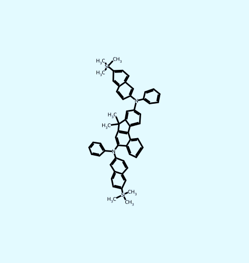 CC1(C)c2cc(N(c3ccccc3)c3ccc4cc([Si](C)(C)C)ccc4c3)ccc2-c2c1cc(N(c1ccccc1)c1ccc3cc([Si](C)(C)C)ccc3c1)c1ccccc21